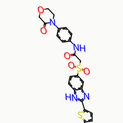 O=C(CS(=O)(=O)c1ccc2[nH]c(-c3ccc(Cl)s3)nc2c1)Nc1ccc(N2CCOCC2=O)cc1